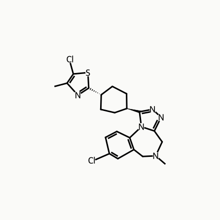 Cc1nc([C@H]2CC[C@H](c3nnc4n3-c3ccc(Cl)cc3CN(C)C4)CC2)sc1Cl